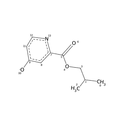 CC(C)COC(=O)c1cc([O])ccn1